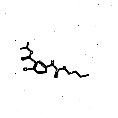 CCCCOC(=O)Nc1ccc(Cl)c(C(=O)OC(C)C)c1